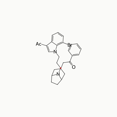 CC(=O)c1cn(CCCN2C3CCC2CC(CC(=O)c2ccccc2)C3)c2c(Br)cccc12